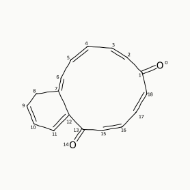 O=C1\C=C/C=C\C=C2\CC=CC=C2C(=O)/C=C\C=C/1